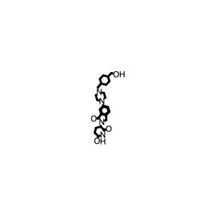 O=C1CCC(N2Cc3ccc(N4CCN(CC5CCC(CO)CC5)CC4)cc3C2=O)C(=O)N1